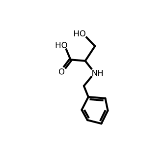 O=C(O)C(CO)NCc1ccccc1